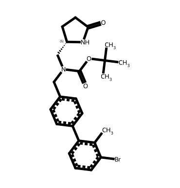 Cc1c(Br)cccc1-c1ccc(CN(C[C@@H]2CCC(=O)N2)C(=O)OC(C)(C)C)cc1